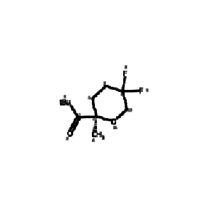 CC(C)(C)C(=O)[C@@]1(C)CCC(F)(F)CO1